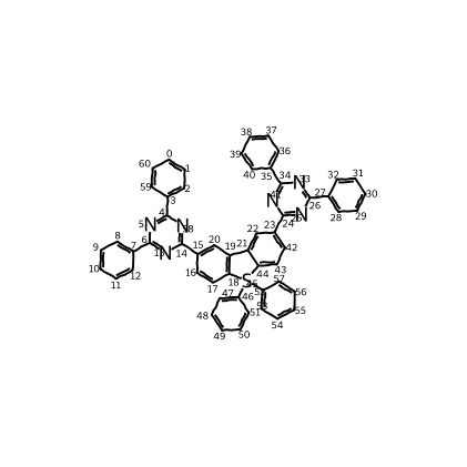 c1ccc(-c2nc(-c3ccccc3)nc(-c3ccc4c(c3)-c3cc(-c5nc(-c6ccccc6)nc(-c6ccccc6)n5)ccc3S4(c3ccccc3)c3ccccc3)n2)cc1